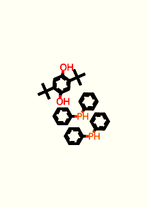 CC(C)(C)c1cc(O)c(C(C)(C)C)cc1O.c1ccc(Pc2ccccc2)cc1.c1ccc(Pc2ccccc2)cc1